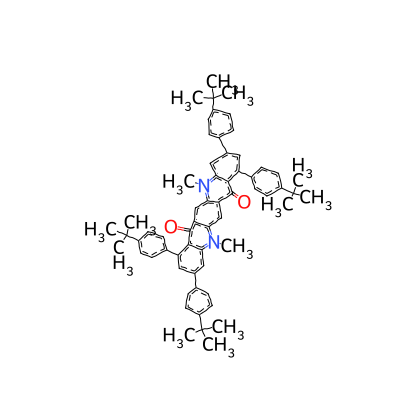 Cn1c2cc3c(=O)c4c(-c5ccc(C(C)(C)C)cc5)cc(-c5ccc(C(C)(C)C)cc5)cc4n(C)c3cc2c(=O)c2c(-c3ccc(C(C)(C)C)cc3)cc(-c3ccc(C(C)(C)C)cc3)cc21